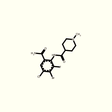 CN1CCC(C(=O)Nc2c(C(N)=O)cc(Cl)c(Br)c2F)CC1